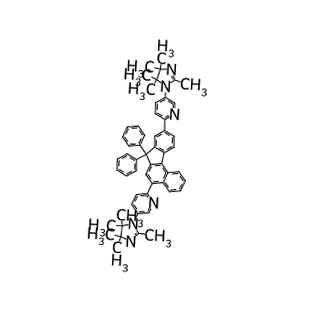 CC1=NC(C)(C)C(C)(C)N1c1ccc(-c2ccc3c(c2)C(c2ccccc2)(c2ccccc2)c2cc(-c4ccc(N5C(C)=NC(C)(C)C5(C)C)cn4)c4ccccc4c2-3)nc1